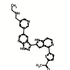 CCNCc1cncc(-c2cnc3[nH]nc(-c4cc5c(-c6ccc(C(C)=O)s6)nccc5[nH]4)c3c2)c1